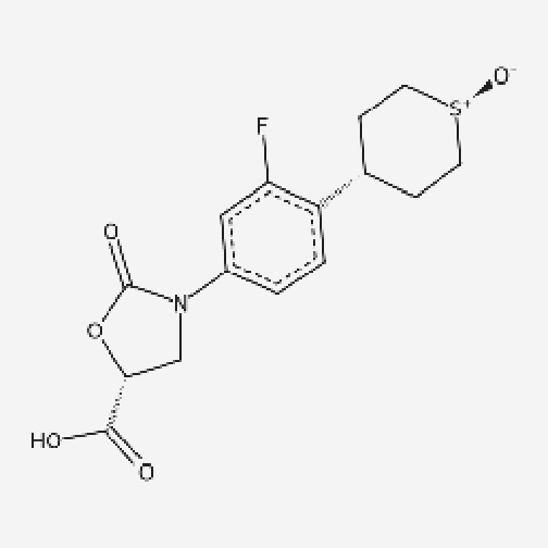 O=C(O)[C@H]1CN(c2ccc([C@H]3CC[S@+]([O-])CC3)c(F)c2)C(=O)O1